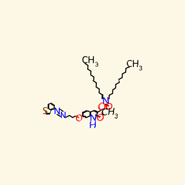 CCCCCCCCCCCCCCN(CCCCCCCCCCCCCC)C(=O)OC(C)c1cc2ccc(OCCCCN3CCN(c4cccc5sccc45)CC3)cc2[nH]c1=O